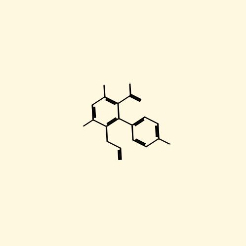 C=CCc1c(C)cc(C)c(C(C)=O)c1-c1ccc(F)cc1